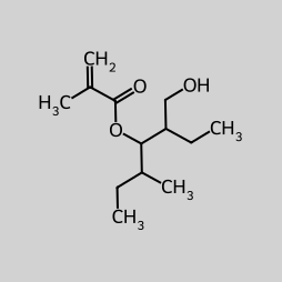 C=C(C)C(=O)OC(C(C)CC)C(CC)CO